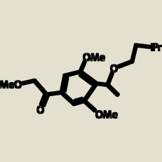 COCC(=O)c1cc(OC)c(C(C)OCCC(C)C)c(OC)c1